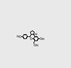 OCc1cc(O)cc2c1OC(c1ccc(O)cc1)C1CCC[C@@H]21